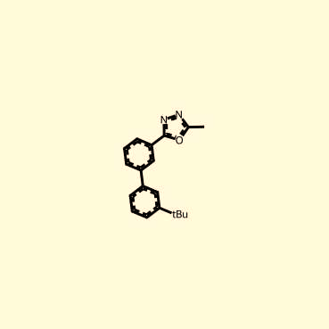 Cc1nnc(-c2cccc(-c3cccc(C(C)(C)C)c3)c2)o1